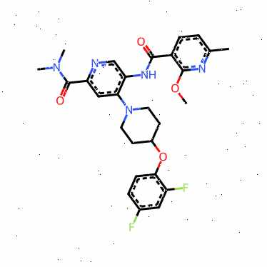 COc1nc(C)ccc1C(=O)Nc1cnc(C(=O)N(C)C)cc1N1CCC(Oc2ccc(F)cc2F)CC1